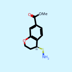 COC(=O)c1ccc2c(c1)OCC[C@@H]2SN